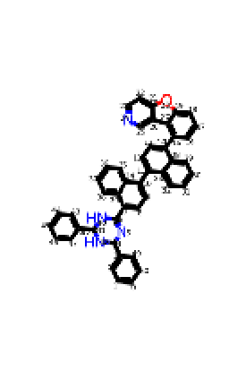 c1ccc(C2N=C(c3ccc(-c4ccc(-c5cccc6oc7ccncc7c56)c5ccccc45)c4ccccc34)NC(c3ccccc3)N2)cc1